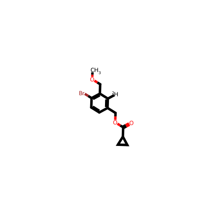 [2H]c1c(COC(=O)C2CC2)ccc(Br)c1COC